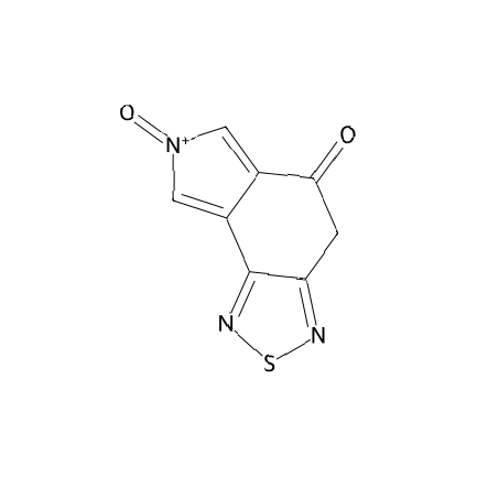 O=C1Cc2nsnc2C2=C[N+](=O)C=C12